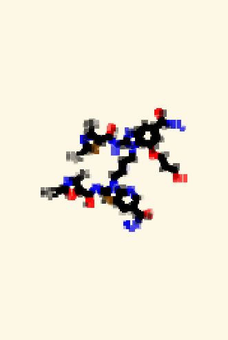 CCc1nc(C)oc1C(=O)/N=c1\sc2cc(C(N)=O)cnc2n1C/C=C/Cn1c(NC(=O)c2sc(C)nc2CC)nc2cc(C(N)=O)cc(OCCCO)c21